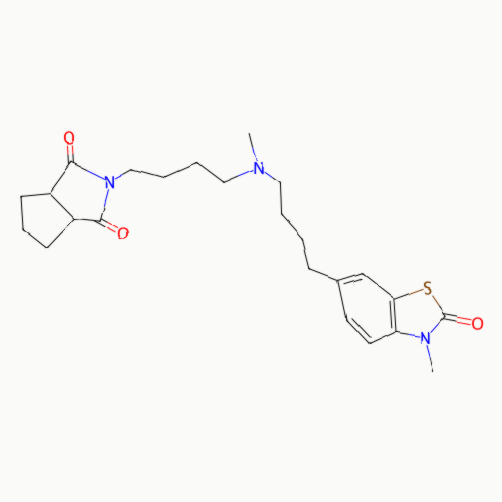 CN(CCCCc1ccc2c(c1)sc(=O)n2C)CCCCN1C(=O)C2CCCC2C1=O